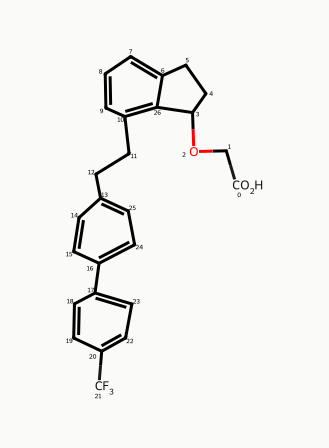 O=C(O)COC1CCc2cccc(CCc3ccc(-c4ccc(C(F)(F)F)cc4)cc3)c21